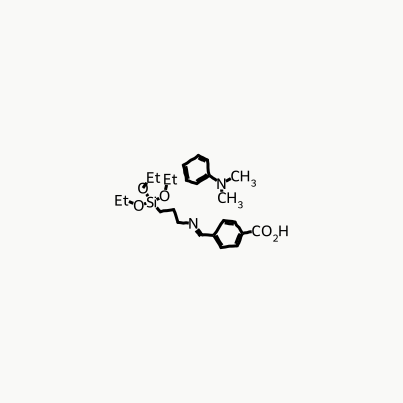 CCO[Si](CCCN=Cc1ccc(C(=O)O)cc1)(OCC)OCC.CN(C)c1ccccc1